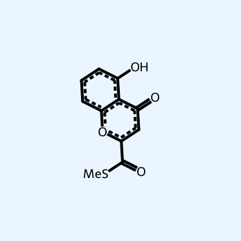 CSC(=O)c1cc(=O)c2c(O)cccc2o1